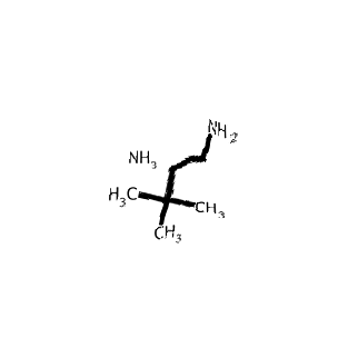 CC(C)(C)CCN.N